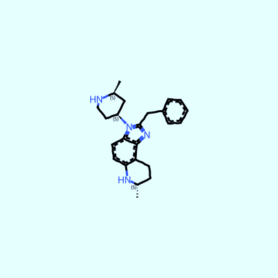 C[C@H]1C[C@@H](n2c(Cc3ccccc3)nc3c4c(ccc32)N[C@@H](C)CC4)CCN1